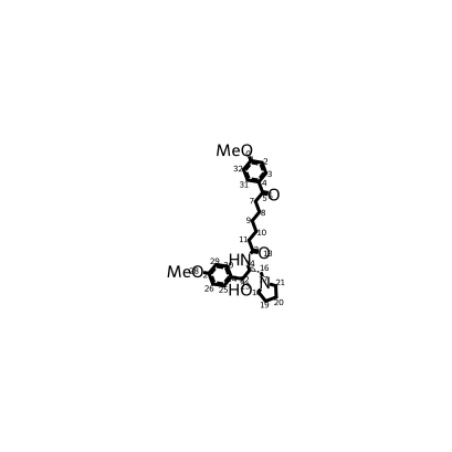 COc1ccc(C(=O)CCCCCC(=O)N[C@H](CN2CCCC2)[C@H](O)c2ccc(OC)cc2)cc1